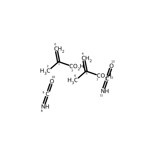 C=C(C)C(=O)O.C=C(C)C(=O)O.N=C=O.N=C=O